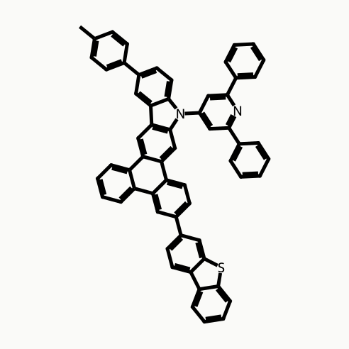 Cc1ccc(-c2ccc3c(c2)c2cc4c5ccccc5c5cc(-c6ccc7c(c6)sc6ccccc67)ccc5c4cc2n3-c2cc(-c3ccccc3)nc(-c3ccccc3)c2)cc1